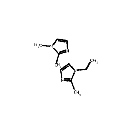 CCn1ccnc1C.Cc1nccn1C